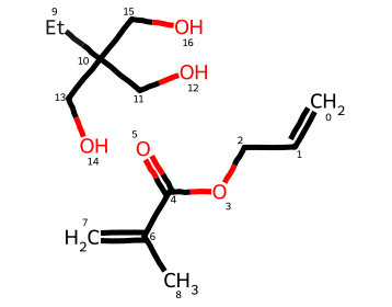 C=CCOC(=O)C(=C)C.CCC(CO)(CO)CO